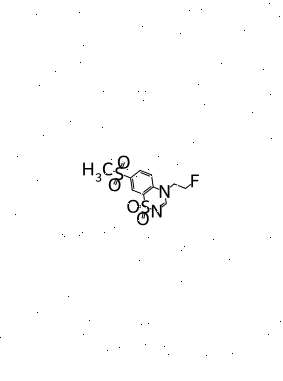 CS(=O)(=O)c1ccc2c(c1)S(=O)(=O)N=CN2CCF